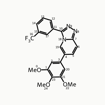 COc1cc(-c2ccc3nnc(-c4cccc(C(F)(F)F)c4)n3c2)cc(OC)c1OC